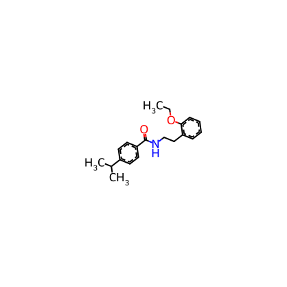 CCOc1ccccc1CCNC(=O)c1ccc(C(C)C)cc1